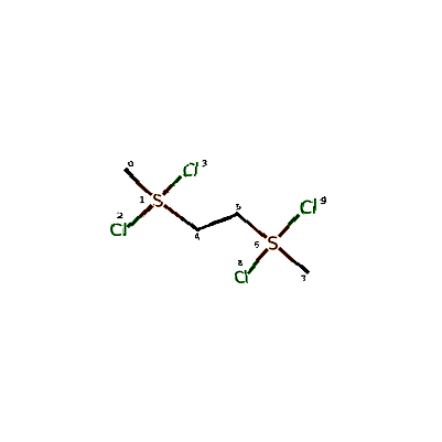 CS(Cl)(Cl)CCS(C)(Cl)Cl